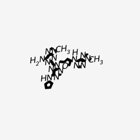 Cn1cnc2c(N)nc(-c3nc4c(NC5CCCC5)ncnc4n3CC3CC(Nc4ncnc5c4ncn5C)CO3)nc21